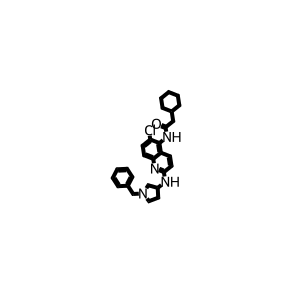 O=C(CC1CCCCC1)Nc1c(Cl)ccc2nc(NC3CCN(Cc4ccccc4)C3)ccc12